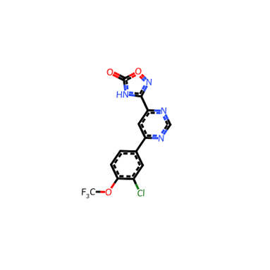 O=c1[nH]c(-c2cc(-c3ccc(OC(F)(F)F)c(Cl)c3)ncn2)no1